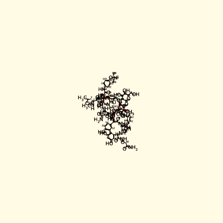 CN[C@H](CC(C)C)C(=O)N[C@H]1C(=O)N[C@@H](CC(N)=O)C(=O)N[C@H]2C(=O)N[C@H]3C(=O)N[C@H](C(=O)N[C@@H](C(=O)NOCC(N)=O)c4cc(O)cc(O)c4-c4cc3ccc4O)[C@H](O)c3ccc(c(Cl)c3)Oc3cc2cc(c3O[C@@H]2O[C@H](CO)[C@@H](O)[C@H](O)[C@H]2O[C@H]2C[C@](C)(NCCN3CCN(NC(=O)Nc4ccc(OC(F)(F)F)cc4)CC3)[C@H](O)[C@H](C)O2)Oc2ccc(cc2Cl)[C@H]1O